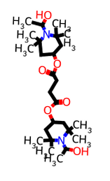 CC(O)N1C(C)(C)CC(OC(=O)CCC(=O)OC2CC(C)(C)N(C(C)O)C(C)(C)C2)CC1(C)C